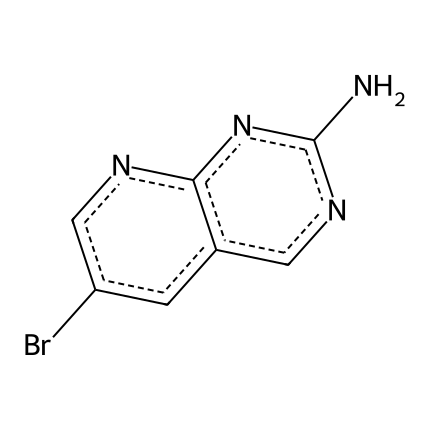 Nc1ncc2cc(Br)cnc2n1